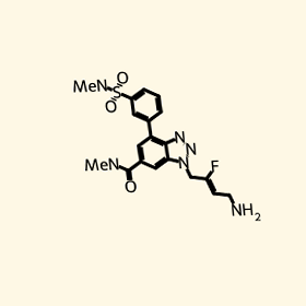 CNC(=O)c1cc(-c2cccc(S(=O)(=O)NC)c2)c2nnn(C/C(F)=C/CN)c2c1